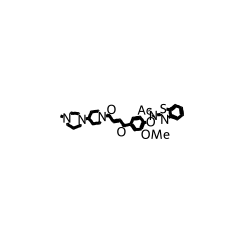 COc1cc(C(=O)C=CC(=O)N2CCC(N3CCCN(C)CC3)CC2)ccc1ON(C(C)=O)c1nc2ccccc2s1